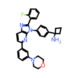 NC1(c2ccc(-n3c(-c4ccccc4F)nc4ccc(-c5cccc(N6CCOCC6)c5)nc43)cc2)CCC1